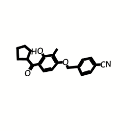 Cc1c(OCc2ccc(C#N)cc2)ccc(C(=O)C2CCCC2)c1O